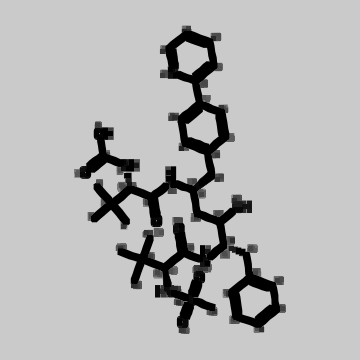 CC(C)(C)[C@H](NC(=O)O)C(=O)N[C@@H](Cc1ccc(-c2ccccn2)cc1)CC(O)[C@H](Cc1ccccc1)NC(=O)[C@@H](NS(C)(=O)=O)C(C)(C)C